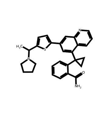 CC(c1ccc(-c2cc(C3(c4ccccc4C(N)=O)CC3)c3cccnc3c2)s1)N1CCCC1